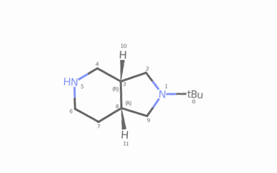 CC(C)(C)N1C[C@H]2CNCC[C@H]2C1